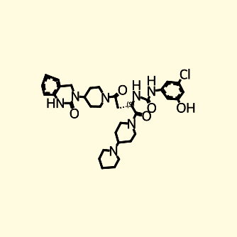 O=C(Nc1cc(O)cc(Cl)c1)N[C@@H](CC(=O)N1CCC(N2Cc3ccccc3NC2=O)CC1)C(=O)N1CCC(N2CCCCC2)CC1